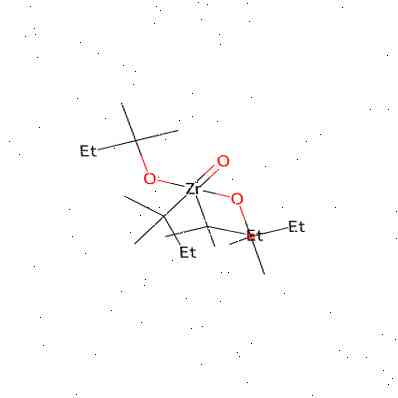 CCC(C)(C)[O][Zr](=[O])([O]C(C)(C)CC)([C](C)(C)CC)[C](C)(C)CC